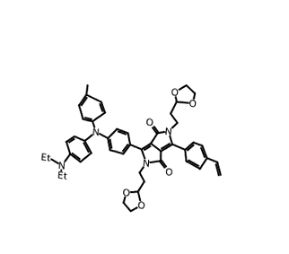 C=Cc1ccc(C2=C3C(=O)N(CCC4OCCO4)C(c4ccc(N(c5ccc(C)cc5)c5ccc(N(CC)CC)cc5)cc4)=C3C(=O)N2CCC2OCCO2)cc1